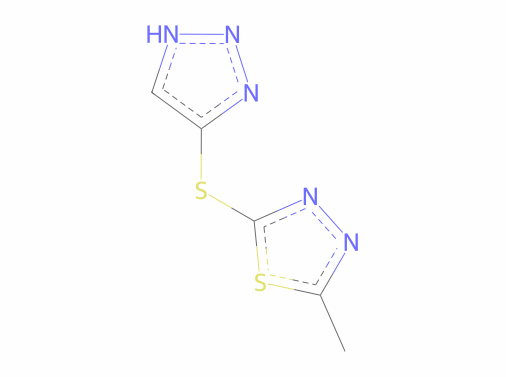 Cc1nnc(Sc2c[nH]nn2)s1